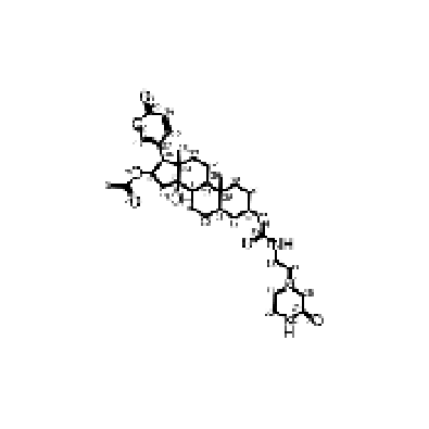 CC(=O)OC1CC2(O)C3CCC4CC(OC(=O)NCCN5CCNC(=O)C5)CCC4(C)C3CCC2(C)C1c1ccc(=O)oc1